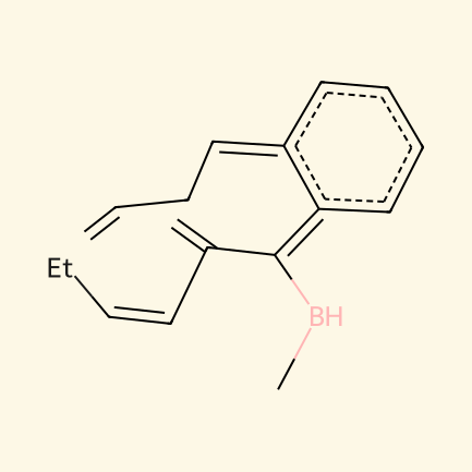 C=CC/C=c1/cccc/c1=C(\BC)C(=C)/C=C\CC